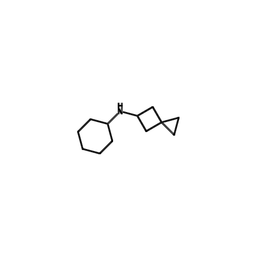 C1CCC(NC2CC3(CC3)C2)CC1